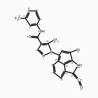 CCc1cc(-n2ncc(C(=O)Nc3ccnc(C(F)(F)F)c3)c2C(F)(F)F)c2cccc3c(=C=O)[nH]c1c23